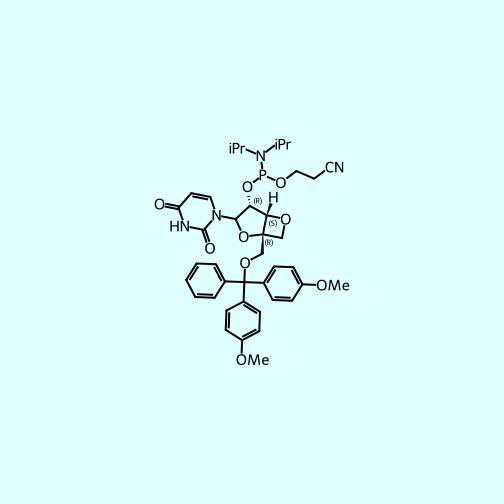 COc1ccc(C(OC[C@]23CO[C@H]2[C@@H](OP(OCCC#N)N(C(C)C)C(C)C)C(n2ccc(=O)[nH]c2=O)O3)(c2ccccc2)c2ccc(OC)cc2)cc1